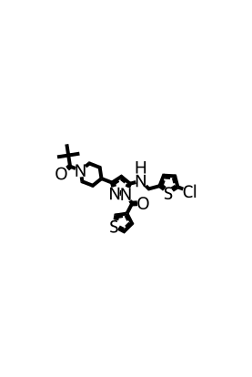 CC(C)(C)C(=O)N1CCC(c2cc(NCc3ccc(Cl)s3)n(C(=O)c3ccsc3)n2)CC1